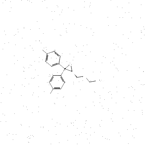 COCOC[C@@H]1NC1(c1ccc(F)cc1)c1ccc(F)cc1